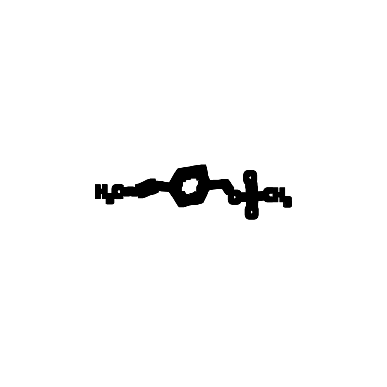 CC#Cc1ccc(COS(C)(=O)=O)cc1